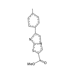 COC(=O)c1cn2cc(-c3ccc(C)cc3)nc2s1